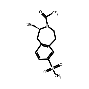 CC(C)(C)[C@@H]1Cc2ccc(S(C)(=O)=O)cc2CCN1C(=O)C(F)(F)F